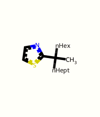 CCCCCCCC(C)(CCCCCC)c1nccs1